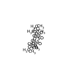 Cc1ccc2c(c1-c1cc3c4c(c1)N(c1ccccc1)c1c(sc5ccccc15)B4c1cc4c(cc1O3)Oc1cc(-c3c(C)ccc5c3C(C)(C)CCC5(C)C)cc3c1B4c1sc4ccccc4c1N3c1ccccc1)C(C)(C)CCC2(C)C